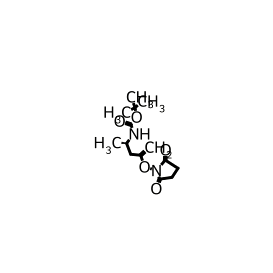 C=C(C[C@@H](C)NC(=O)OC(C)(C)C)ON1C(=O)CCC1=O